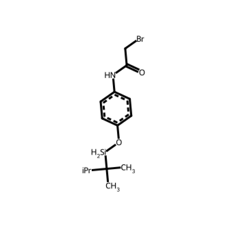 CC(C)C(C)(C)[SiH2]Oc1ccc(NC(=O)CBr)cc1